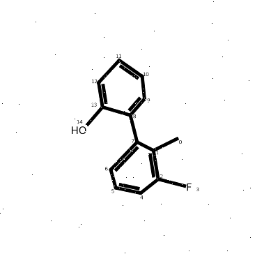 Cc1c(F)cccc1-c1ccccc1O